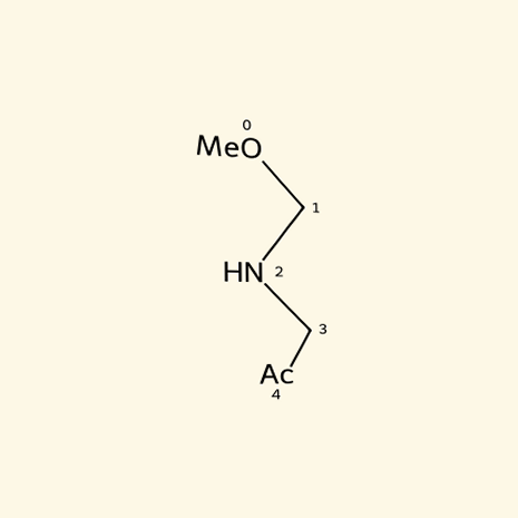 COCNCC(C)=O